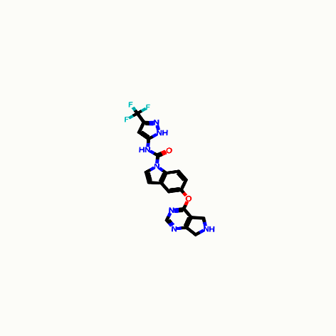 O=C(Nc1cc(C(F)(F)F)n[nH]1)n1ccc2cc(Oc3ncnc4c3CNC4)ccc21